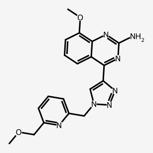 COCc1cccc(Cn2cc(-c3nc(N)nc4c(OC)cccc34)nn2)n1